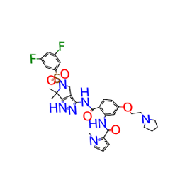 Cn1cccc1C(=O)Nc1cc(OCCN2CCCC2)ccc1C(=O)Nc1n[nH]c2c1CN(S(=O)(=O)c1cc(F)cc(F)c1)C2(C)C